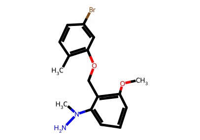 COc1cccc(N(C)N)c1COc1cc(Br)ccc1C